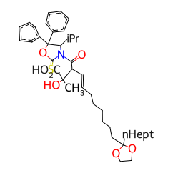 CCCCCCCC1(CCCCCCC=CC(C(=O)N2C(=S)OC(c3ccccc3)(c3ccccc3)C2C(C)C)C(C)(O)C(=O)O)OCCO1